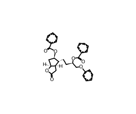 O=C1C[C@@H]2[C@@H](CC[C@H](COc3ccccc3)OC(=O)c3ccccc3)[C@H](OC(=O)c3ccccc3)C[C@@H]2O1